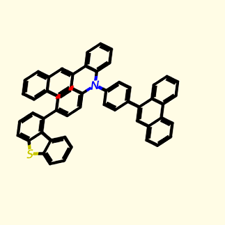 c1ccc(N(c2ccc(-c3cc4ccccc4c4ccccc34)cc2)c2ccc(-c3cccc4sc5ccccc5c34)cc2)c(-c2ccc3ccccc3c2)c1